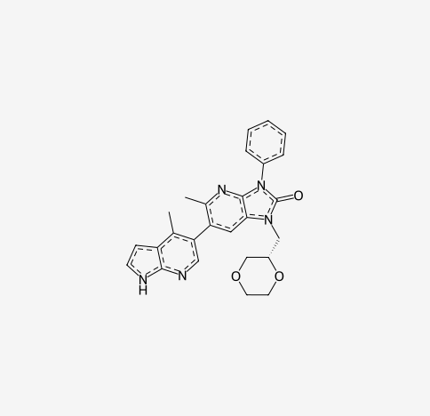 Cc1nc2c(cc1-c1cnc3[nH]ccc3c1C)n(C[C@H]1COCCO1)c(=O)n2-c1ccccc1